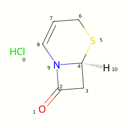 Cl.O=C1C[C@@H]2SCC=CN12